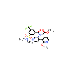 COC(=O)CN(C(=O)c1cc(C(F)(F)F)cc(S(=O)(=O)N(C)C)c1)c1cnccc1-c1cccnc1OC